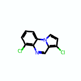 Clc1cccc2c1ncc1c(Cl)ccn12